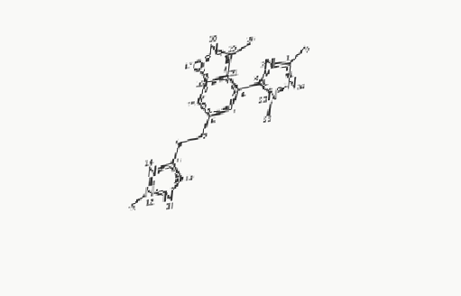 Cc1nc(-c2cc(CCc3cnn(C)n3)cc3onc(C)c23)n(C)n1